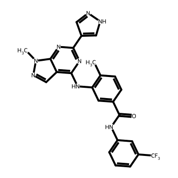 Cc1ccc(C(=O)Nc2cccc(C(F)(F)F)c2)cc1Nc1nc(-c2cn[nH]c2)nc2c1cnn2C